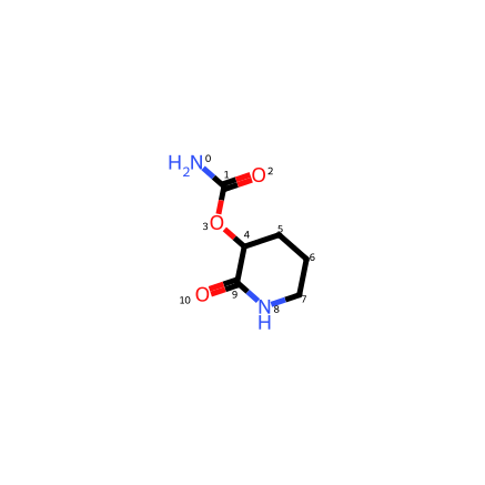 NC(=O)OC1CCCNC1=O